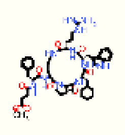 COC(=O)CCC(=O)N[C@@H](Cc1ccccc1)C(=O)NC1CCCNC(=O)[C@H](CCCNC(=N)N)NC(=O)[C@H](Cc2c[nH]c3ccccc23)NC(=O)[C@@H](CC2CCCCC2)NC(=O)[C@@H]2CCCN2C1=O